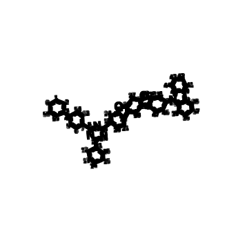 c1ccc(-c2ccc(-c3nc(-c4ccccc4)nc(-c4ccc5c(c4)oc4cc6oc7cc(-n8c9ccccc9c9ccccc98)ccc7c6cc45)n3)cc2)cc1